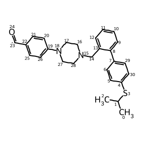 CC(C)Sc1ccc(-c2ccccc2CN2CCN(c3ccc([C]=O)cc3)CC2)cc1